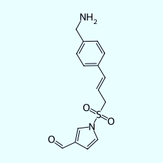 NCc1ccc(C=CCS(=O)(=O)n2ccc(C=O)c2)cc1